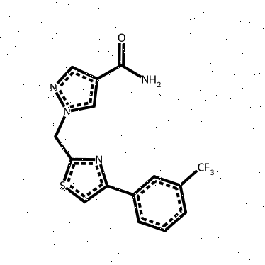 NC(=O)c1cnn(Cc2nc(-c3cccc(C(F)(F)F)c3)cs2)c1